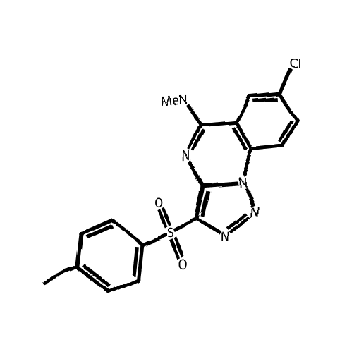 CNc1nc2c(S(=O)(=O)c3ccc(C)cc3)nnn2c2ccc(Cl)cc12